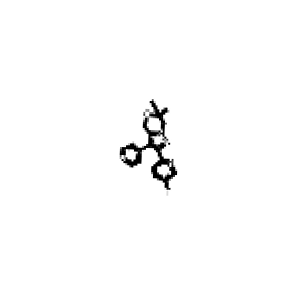 CC1(C)Cn2nc(-c3ccc(F)cn3)c(-c3ccncc3)c2CO1